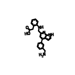 NCc1cccc(-c2cc(CNc3ccccc3CC(=O)O)nc3[nH]ccc23)c1